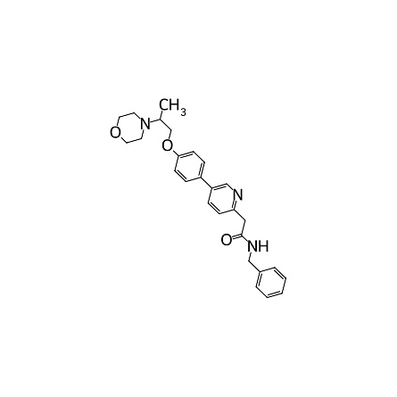 CC(COc1ccc(-c2ccc(CC(=O)NCc3ccccc3)nc2)cc1)N1CCOCC1